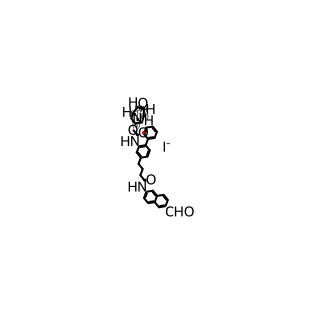 C[N+]1(C)[C@@H]2C[C@@H](OC(=O)Nc3cc(CCCC(=O)Nc4ccc5cc(C=O)ccc5c4)ccc3-c3ccccc3)C[C@H]1[C@@H]1O[C@@H]12.[I-]